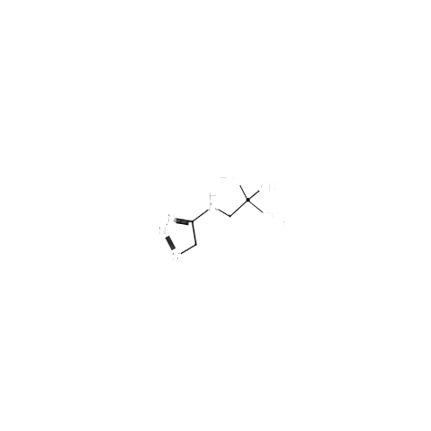 CC(C)(C)CNC1=NN=NC1